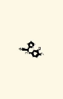 N#CC(Nc1ccc(F)c(Cl)c1)c1cccs1